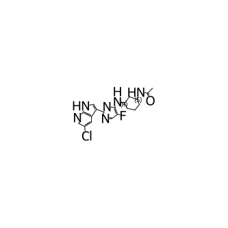 CC(=O)N[C@H]1CCC[C@@H](Nc2nc(-c3c[nH]c4ncc(Cl)cc34)ncc2F)C1